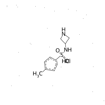 Cc1ccc(S(=O)(=O)NC2CNC2)cc1.Cl